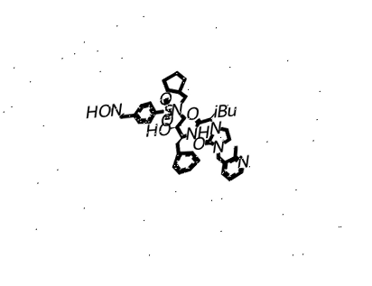 CC[C@H](C)[C@@H](C(=O)N[C@@H](Cc1ccccc1)[C@H](O)CN(CC1CCCC1)S(=O)(=O)c1ccc(/C=N/O)cc1)N1CCN(Cc2cccnc2C)C1=O